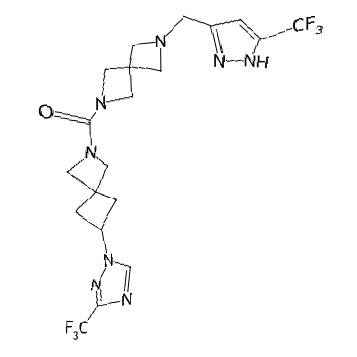 O=C(N1CC2(CC(n3cnc(C(F)(F)F)n3)C2)C1)N1CC2(CN(Cc3cc(C(F)(F)F)[nH]n3)C2)C1